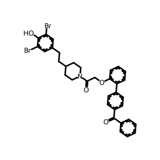 O=C(c1ccccc1)c1ccc(-c2ccccc2OCC(=O)N2CCC(CCc3cc(Br)c(O)c(Br)c3)CC2)cc1